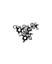 Cc1cc([C@@H](C)Nc2ccc(Cl)nc2C(=O)O)c2nc([C@H]3CCN(C(=O)OC(C)(C)C)C3)n(C)c(=O)c2c1